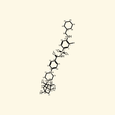 Cc1cc(S(=O)(=O)NC(=O)c2ccc(N3CCN([C@H]4C[C@H]5C[C@@H]([C@@H]4C)C5(C)C)CC3)cc2)ccc1NCC1CCCCC1